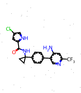 Nc1cc(C(F)(F)F)ncc1-c1ccc(C2(NC(=O)c3cc(Cl)c[nH]3)CC2)cc1